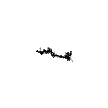 Cn1c(=O)n(C2CCC(=O)NC2=O)c2ccc(CCCOCCOCCNC(=O)c3ccc(-n4cc(NC(=O)c5coc(-c6ccnc(NCC7CC7)c6)n5)c(C(F)F)n4)cn3)cc21